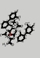 Cc1noc([C@@H](Cc2ccccc2-c2ccc(F)c(Cl)c2)N(C(=O)OC(C)(C)C)[C@H](Cc2ccccc2-c2ccc(F)c(Cl)c2)c2nc(C(N)=O)no2)n1